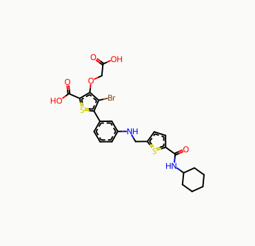 O=C(O)COc1c(C(=O)O)sc(-c2cccc(NCc3ccc(C(=O)NC4CCCCC4)s3)c2)c1Br